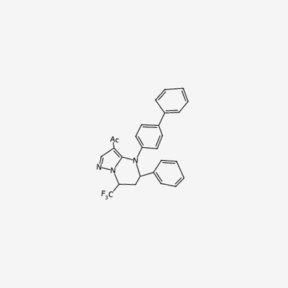 CC(=O)c1cnn2c1N(c1ccc(-c3ccccc3)cc1)C(c1ccccc1)CC2C(F)(F)F